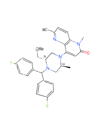 COC[C@@H]1CN(c2cc(=O)n(C)c3ccc(C#N)nc23)[C@@H](C)CN1C(c1ccc(F)cc1)c1ccc(F)cc1